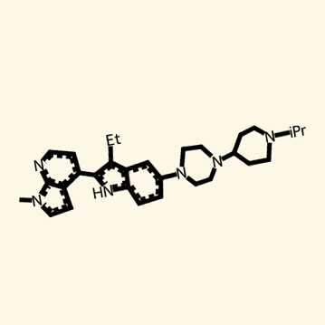 CCc1c(-c2ccnc3c2ccn3C)[nH]c2ccc(N3CCN(C4CCN(C(C)C)CC4)CC3)cc12